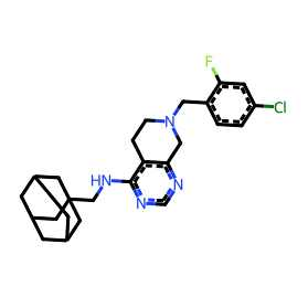 Fc1cc(Cl)ccc1CN1CCc2c(ncnc2NCC23CC4CC(CC(C4)C2)C3)C1